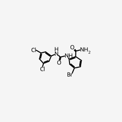 NC(=O)c1ccc(Br)cc1NC(=O)Nc1cc(Cl)cc(Cl)c1